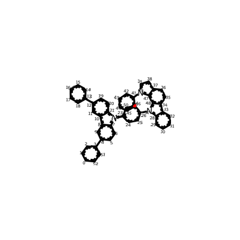 c1ccc(-c2ccc3c(c2)c2cc(-c4ccccc4)ccc2n3-c2ccc(-n3c4ccccc4c4ccc5ccn(-c6ccccc6)c5c43)cc2)cc1